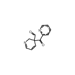 O=CC1(C(=O)c2ccccn2)C=CC=NC1